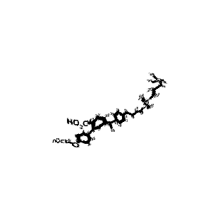 CCCCCCCCOc1ccc(-c2cc(C(C)c3ccc(CCCC[Si](C)(C)CCC[Si](C)(C)C)cc3)ccc2C(=O)O)cc1